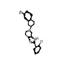 Clc1ccccc1-c1nc2c([nH]1)CN(C1CCc3ccc(Br)cc3C1)CC2